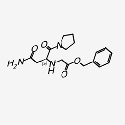 NC(=O)C[C@H](NCC(=O)OCc1ccccc1)C(=O)N1CCCC1